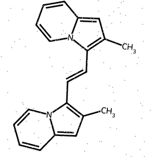 Cc1cc2ccccn2c1C=Cc1c(C)cc2ccccn12